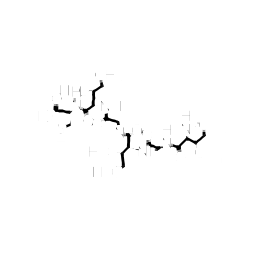 CC[C@H](C)[C@H](N)C(=O)NCC(=O)N[C@H](C(=O)NCC(=O)N[C@H](C(=O)N[C@@H](CS)C(=O)O)[C@@H](C)CC)[C@@H](C)CC